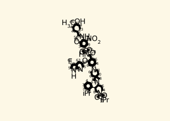 CC(C)c1ccccc1[C@@H]1CN(S(=O)(=O)C(C)C)CC[C@@H]1N1CC2(CCN(c3ccc(C(=O)NS(=O)(=O)c4cc5c(c([N+](=O)[O-])c4)N[C@@H]([C@H]4CC[C@](C)(O)CC4)CO5)c(Oc4cnc5[nH]cc(F)c5c4)c3)CC2)C1